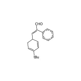 CC(C)(C)C1=CCC(C=C(C=O)c2ccccc2)C=C1